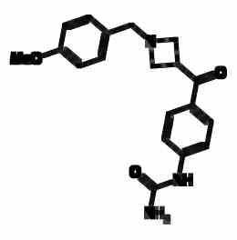 COc1ccc(CN2CC(C(=O)c3ccc(NC(N)=O)cc3)C2)cc1